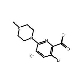 CN1CCN(c2ccc(Cl)c(C(=O)[O-])n2)CC1.[K+]